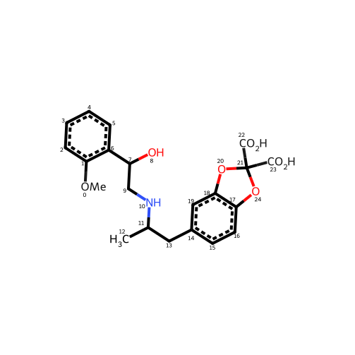 COc1ccccc1C(O)CNC(C)Cc1ccc2c(c1)OC(C(=O)O)(C(=O)O)O2